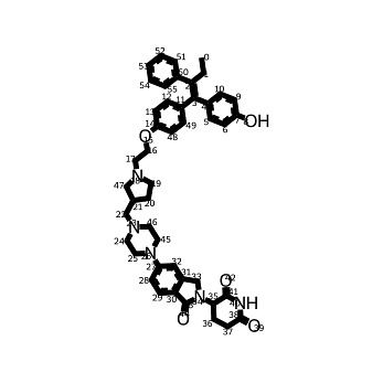 CCC(=C(c1ccc(O)cc1)c1ccc(OCCN2CCC(CN3CCN(c4ccc5c(c4)CN(C4CCC(=O)NC4=O)C5=O)CC3)C2)cc1)c1ccccc1